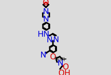 C[C@@H]1C[C@@H](Oc2ccc(-c3nccc(Nc4ccc(N5CCN(C6COC6)CC5)cc4)n3)cc2C#N)CN1C(=O)CO